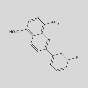 Nc1ncc(C(=O)O)c2ccc(-c3cccc(F)c3)nc12